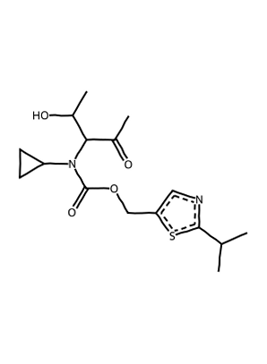 CC(=O)C(C(C)O)N(C(=O)OCc1cnc(C(C)C)s1)C1CC1